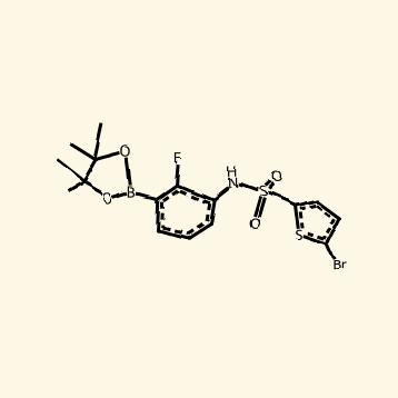 CC1(C)OB(c2cccc(NS(=O)(=O)c3ccc(Br)s3)c2F)OC1(C)C